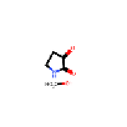 O=C(O)O.O=C1CCNC1=O